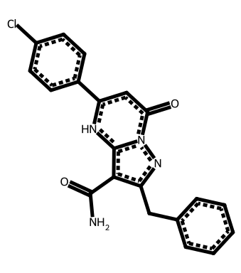 NC(=O)c1c(Cc2ccccc2)nn2c(=O)cc(-c3ccc(Cl)cc3)[nH]c12